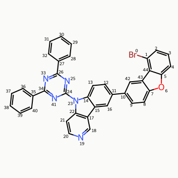 Brc1cccc2oc3ccc(-c4ccc5c(c4)c4cnccc4n5-c4nc(-c5ccccc5)nc(-c5ccccc5)n4)cc3c12